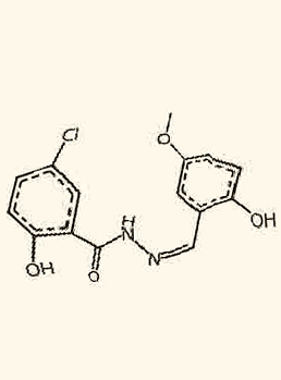 COc1ccc(O)c(/C=N\NC(=O)c2cc(Cl)ccc2O)c1